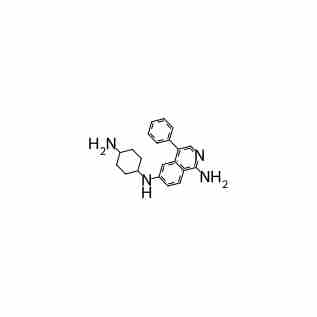 Nc1ncc(-c2ccccc2)c2cc(NC3CCC(N)CC3)ccc12